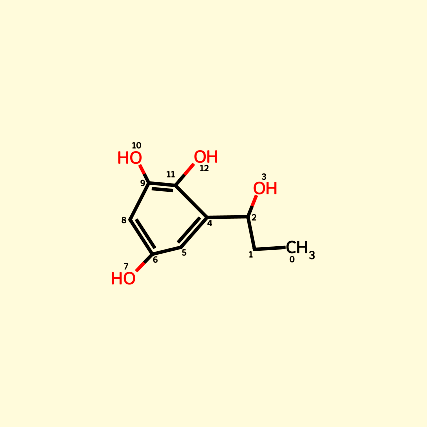 CCC(O)c1cc(O)cc(O)c1O